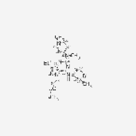 CCc1nn(CCOCC(F)(F)F)c2c(Nc3cc(C)ncn3)nc(N(C)C3=CCN(C)C=N3)nc12